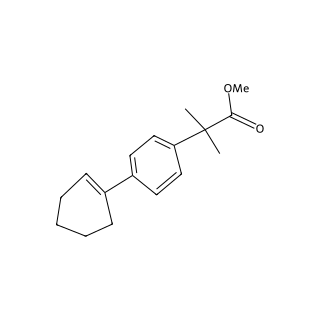 COC(=O)C(C)(C)c1ccc(C2=CCCCC2)cc1